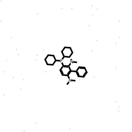 CN(C)c1ccc(P(C2CCCCC2)C2CCCCC2)c(N(C)C)c1-c1ccccc1